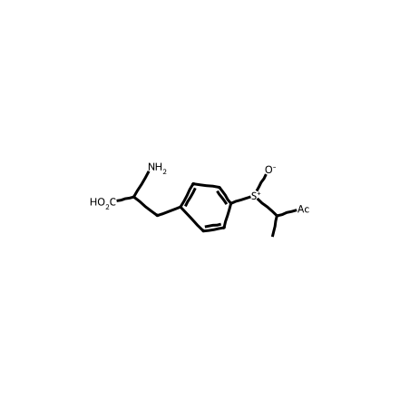 CC(=O)C(C)[S+]([O-])c1ccc(CC(N)C(=O)O)cc1